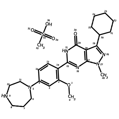 COc1cc(N2CCCNCC2)ccc1-c1nc2c(c(C3CCCCC3)nn2C)c(=O)[nH]1.CS(=O)(=O)O